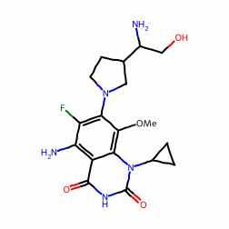 COc1c(N2CCC(C(N)CO)C2)c(F)c(N)c2c(=O)[nH]c(=O)n(C3CC3)c12